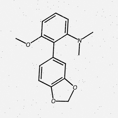 COc1[c]ccc(N(C)C)c1-c1ccc2c(c1)OCO2